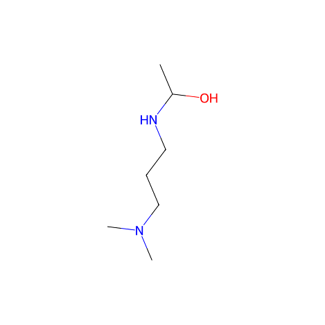 CC(O)NCCCN(C)C